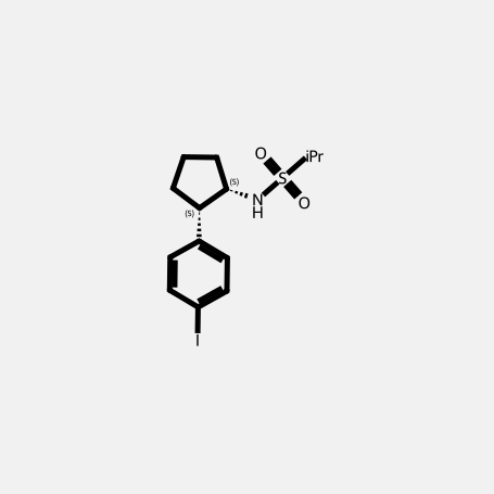 CC(C)S(=O)(=O)N[C@H]1CCC[C@H]1c1ccc(I)cc1